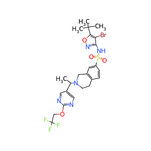 CC(c1cnc(OCC(F)(F)F)nc1)N1CCc2ccc(S(=O)(=O)Nc3noc(C(C)(C)C)c3Br)cc2C1